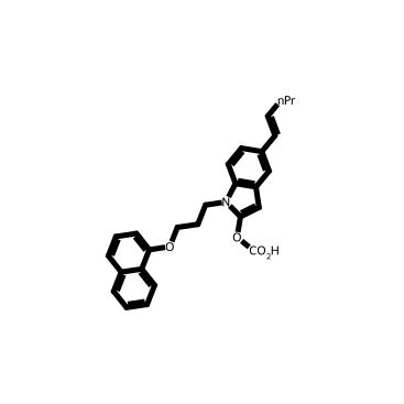 CCC/C=C/c1ccc2c(c1)cc(OC(=O)O)n2CCCOc1cccc2ccccc12